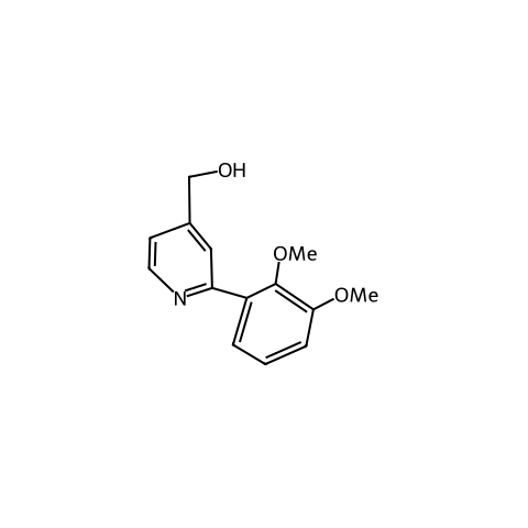 COc1cccc(-c2cc(CO)ccn2)c1OC